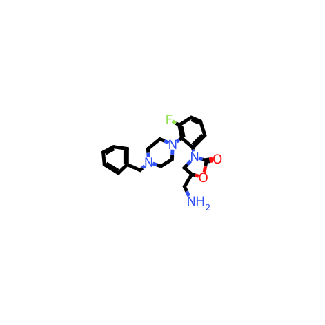 NCC1CN(c2cccc(F)c2N2CCN(Cc3ccccc3)CC2)C(=O)O1